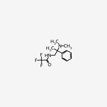 CN(C)C(C)(CNC(=O)C(F)(F)F)c1ccccc1